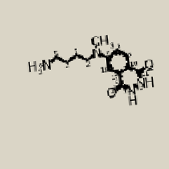 CN(CCCCN)c1ccc2c(=O)[nH][nH]c(=O)c2c1